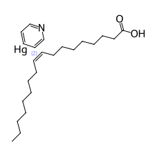 CCCCCCCC/C=C\CCCCCCCC(=O)O.[Hg].c1ccncc1